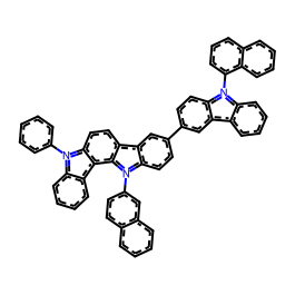 c1ccc(-n2c3ccccc3c3c2ccc2c4cc(-c5ccc6c(c5)c5ccccc5n6-c5cccc6ccccc56)ccc4n(-c4ccc5ccccc5c4)c23)cc1